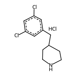 Cl.Clc1cc(Cl)cc(CC2CCNCC2)c1